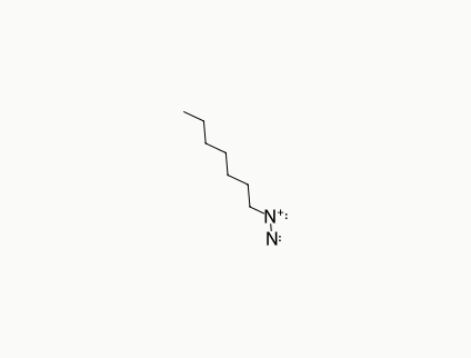 CCCCCCC[N+][N]